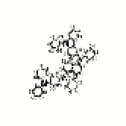 C1=CC2c3cc(N(C4=CCCC=C4)c4cccc5c(N(c6ccccc6)c6ccc7c(c6)c6ccccc6n7-c6ccccc6)cccc45)ccc3N(c3ccccc3)C2C=C1